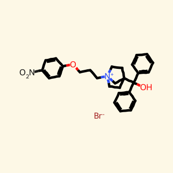 O=[N+]([O-])c1ccc(OCCC[N+]23CCC(C(O)(c4ccccc4)c4ccccc4)(CC2)C3)cc1.[Br-]